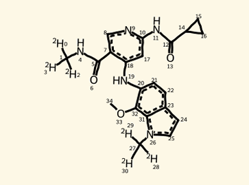 [2H]C([2H])([2H])NC(=O)c1cnc(NC(=O)C2CC2)cc1Nc1ccc2ccn(C([2H])([2H])[2H])c2c1OC